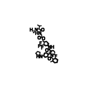 Cc1cccc(F)c1C(=O)N1CCC[C@H](C(=O)Nc2ccc(COC(=O)CNC(=O)C(N)C(C)C)c(C(F)(F)F)c2)[C@@H]1c1ccc(NC2CCCC2)cc1